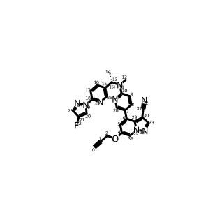 C#CCOc1cc(-c2ccc(N(C)[C@@H](C)c3ccc(-n4cc(F)cn4)nc3)nc2)c2c(C#N)cnn2c1